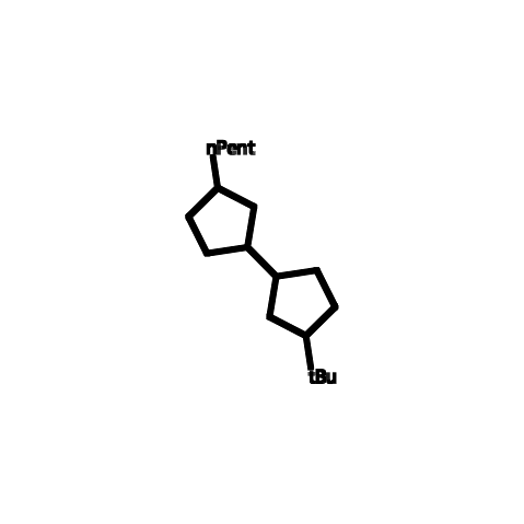 CCCCCC1CCC(C2CCC(C(C)(C)C)C2)C1